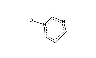 [O-][n+]1[c]nccc1